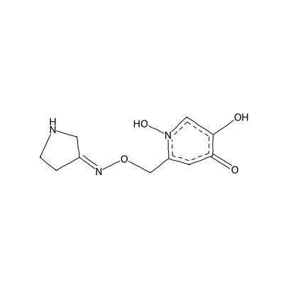 O=c1cc(CO/N=C2/CCNC2)n(O)cc1O